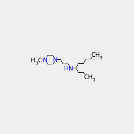 CCCCCC(CCC)NCCCN1CCN(C)CC1